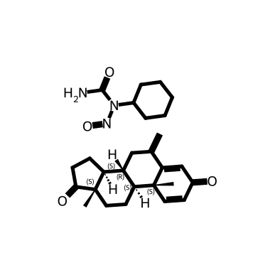 C=C1C[C@@H]2[C@H](CC[C@]3(C)C(=O)CC[C@@H]23)[C@@]2(C)C=CC(=O)C=C12.NC(=O)N(N=O)C1CCCCC1